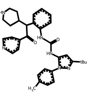 Cc1ccc(-n2nc(C(C)(C)C)cc2NC(=O)Nc2ccccc2C(C(=O)c2ccncc2)C2CCNCC2)cc1